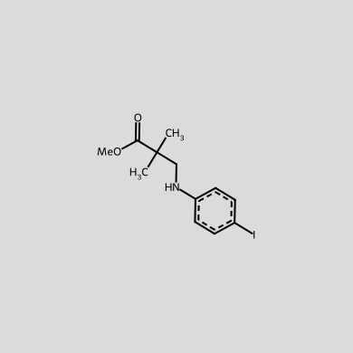 COC(=O)C(C)(C)CNc1ccc(I)cc1